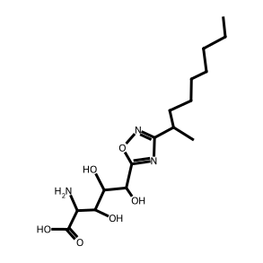 CCCCCCCC(C)c1noc(C(O)C(O)C(O)C(N)C(=O)O)n1